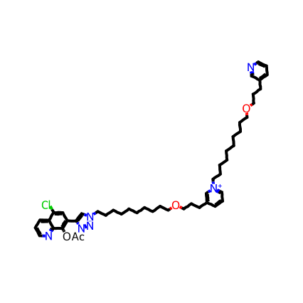 CC(=O)Oc1c(-c2cn(CCCCCCCCCCOCCCc3ccc[n+](CCCCCCCCCCOCCCc4cccnc4)c3)nn2)cc(Cl)c2cccnc12